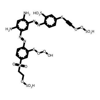 Nc1cc(N)c(N=Nc2ccc(SC#COOS(=O)(=O)O)cc2S(=O)(=O)O)cc1N=Nc1ccc(S(=O)(=O)CCOS(=O)(=O)O)cc1SOOO